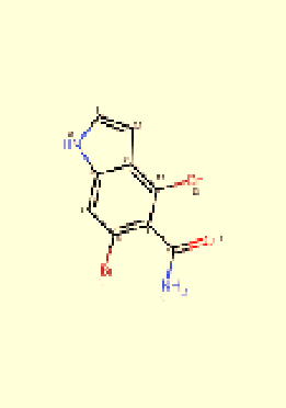 NC(=O)c1c(Br)cc2[nH]c[c]c2c1Br